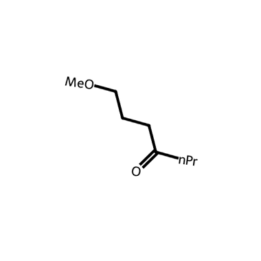 CCCC(=O)CCCOC